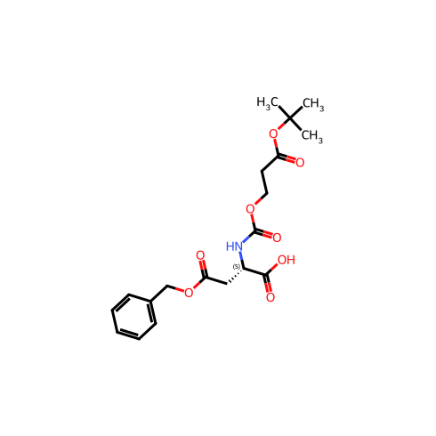 CC(C)(C)OC(=O)CCOC(=O)N[C@@H](CC(=O)OCc1ccccc1)C(=O)O